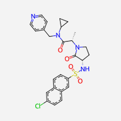 C[C@@H](C(=O)N(Cc1ccncc1)C1CC1)N1CC[C@H](NS(=O)(=O)c2ccc3cc(Cl)ccc3c2)C1=O